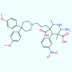 COc1ccc(C2(c3ccc(OC)cc3)CCN(CCCC3(C(=O)O)C(C)NC(N)C(C)(C(=O)O)C3c3cccc([N+](=O)[O-])c3)CC2)cc1